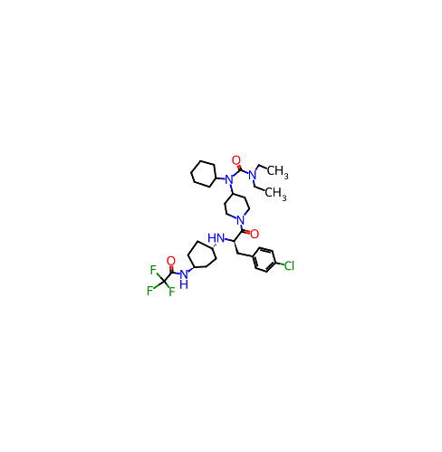 CCN(CC)C(=O)N(C1CCCCC1)C1CCN(C(=O)[C@@H](Cc2ccc(Cl)cc2)N[C@H]2CC[C@H](NC(=O)C(F)(F)F)CC2)CC1